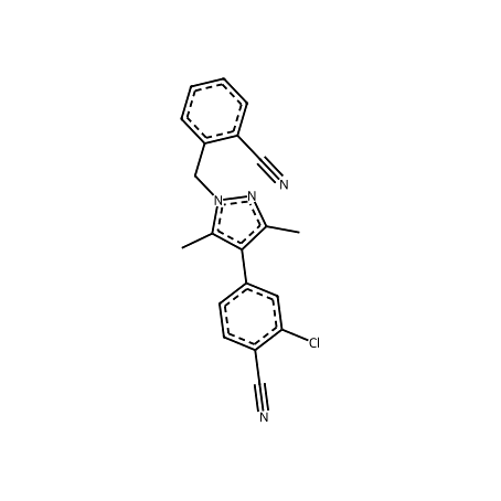 Cc1nn(Cc2ccccc2C#N)c(C)c1-c1ccc(C#N)c(Cl)c1